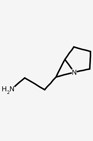 NCCC1C2CCCN12